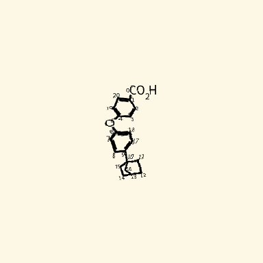 O=C(O)c1ccc(Oc2ccc(C34CCC(CC3)C4)cc2)cc1